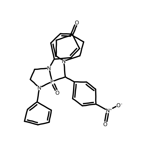 O=C1CCN(C(c2ccc([N+](=O)[O-])cc2)P2(=O)N(c3ccccc3)CCN2c2ccccc2)CC1